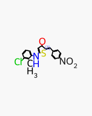 Cc1c(Cl)cccc1NC1=CC(=O)/C(=C/c2ccc([N+](=O)[O-])cc2)S1